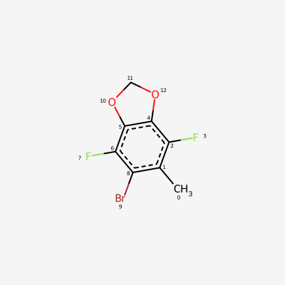 Cc1c(F)c2c(c(F)c1Br)OCO2